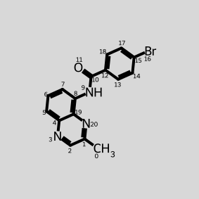 Cc1cnc2cccc(NC(=O)c3ccc(Br)cc3)c2n1